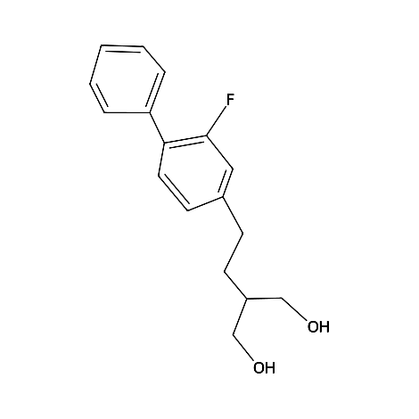 OCC(CO)CCc1ccc(-c2ccccc2)c(F)c1